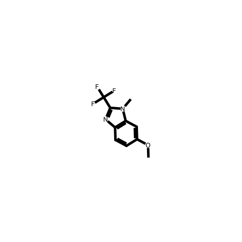 COc1ccc2nc(C(F)(F)F)n(C)c2c1